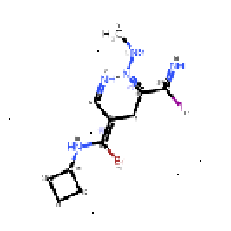 CN/N=C(/C/C(C=N)=C(\Br)NC1CCC1)C(=N)I